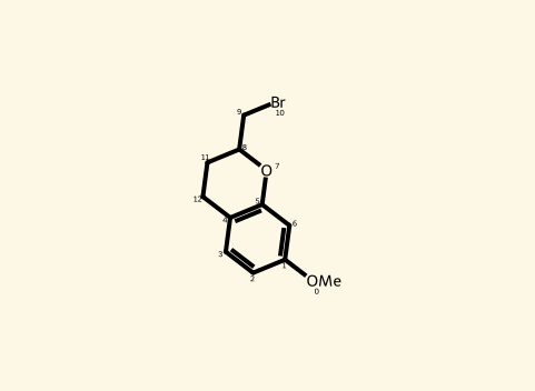 COc1ccc2c(c1)OC(CBr)CC2